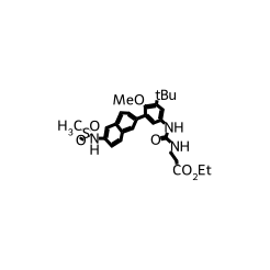 CCOC(=O)CCNC(=O)Nc1cc(-c2ccc3cc(NS(C)(=O)=O)ccc3c2)c(OC)c(C(C)(C)C)c1